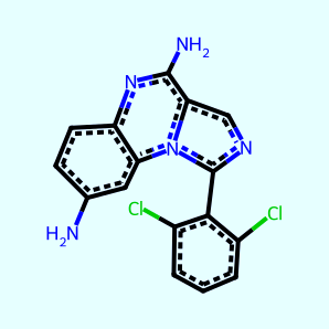 Nc1ccc2nc(N)c3cnc(-c4c(Cl)cccc4Cl)n3c2c1